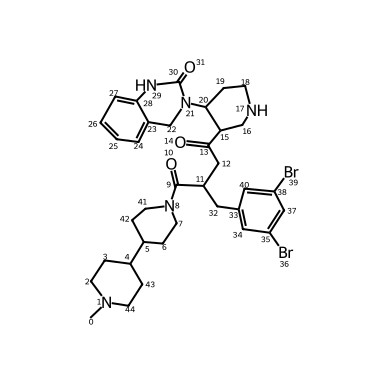 CN1CCC(C2CCN(C(=O)C(CC(=O)C3CNCCC3N3Cc4ccccc4NC3=O)Cc3cc(Br)cc(Br)c3)CC2)CC1